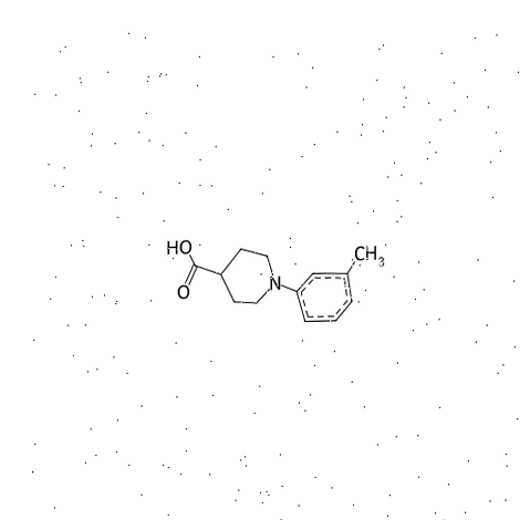 Cc1cccc(N2CCC(C(=O)O)CC2)c1